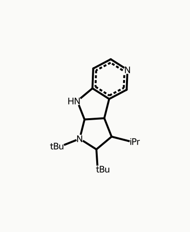 CC(C)C1C2c3cnccc3NC2N(C(C)(C)C)C1C(C)(C)C